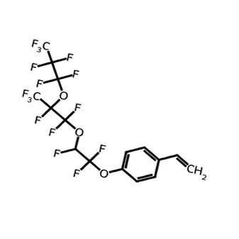 C=Cc1ccc(OC(F)(F)C(F)OC(F)(F)C(F)(OC(F)(F)C(F)(F)C(F)(F)F)C(F)(F)F)cc1